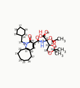 CC(=O)OC(NC(=O)c1cc2c(n(CC3CCCCC3)c1=O)CCCCCC2)(C(=O)O)C1COC(C)(C)O1